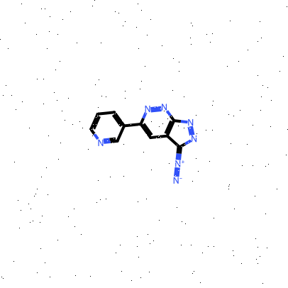 [N-]=[N+]=C1N=Nc2nnc(-c3cccnc3)cc21